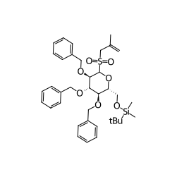 C=C(C)CS(=O)(=O)C1O[C@H](CO[Si](C)(C)C(C)(C)C)[C@@H](OCc2ccccc2)[C@H](OCc2ccccc2)[C@H]1OCc1ccccc1